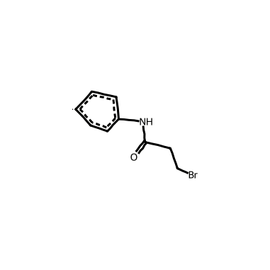 O=C(CCBr)Nc1cc[c]cc1